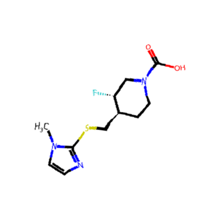 Cn1ccnc1SC[C@@H]1CCN(C(=O)O)C[C@H]1F